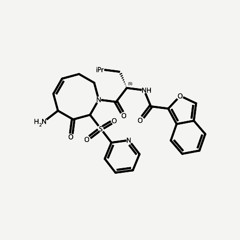 CC(C)C[C@H](NC(=O)c1occ2ccccc12)C(=O)N1CCC=CC(N)C(=O)C1S(=O)(=O)c1ccccn1